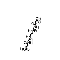 O=C(O)CCC(=O)NCC(=O)NCCCNC(=O)CNC(=O)CCC(=O)O